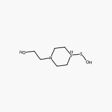 OCCN1CC[SH](SO)CC1